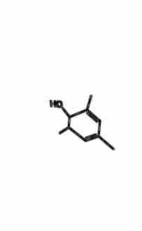 CC1=CC(C)C(O)C(C)=C1